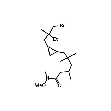 CCC(C)(CC1CC1CC(C)(C)CC(C)CC(=O)N(C)OC)CC(C)(C)C